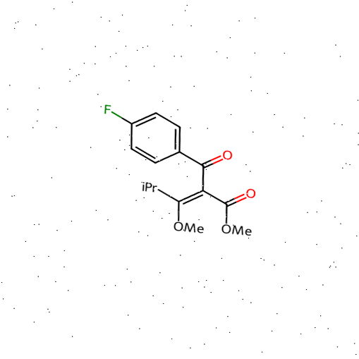 COC(=O)C(C(=O)c1ccc(F)cc1)=C(OC)C(C)C